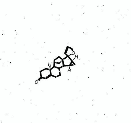 CC[C@]12CCC3C(CCC4=CC(=O)CC[C@@H]43)C1[C@@H]1C[C@@H]1[C@@]21C=CCO1